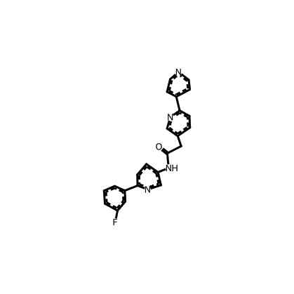 O=C(Cc1ccc(-c2ccncc2)nc1)Nc1ccc(-c2cccc(F)c2)nc1